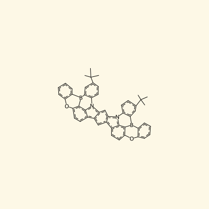 CC(C)(C)c1ccc2c(c1)B1c3ccccc3Oc3ccc4c5cc6c7ccc8c9c7n(c6cc5n-2c4c31)-c1ccc(C(C)(C)C)cc1B9c1ccccc1O8